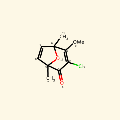 COC1=C(Cl)C(=O)C2(C)C=CC1(C)O2